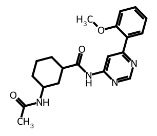 COc1ccccc1-c1cc(NC(=O)C2CCCC(NC(C)=O)C2)ncn1